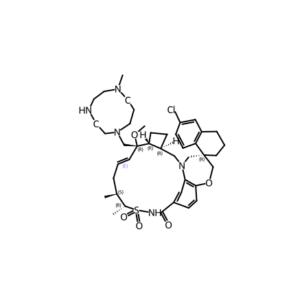 CO[C@@]1(CN2CCCN(C)CCNCC2)/C=C/C[C@H](C)[C@@H](C)S(=O)(=O)NC(=O)c2ccc3c(c2)N(C[C@@H]2CC[C@H]21)C[C@]1(CCCc2cc(Cl)ccc21)CO3